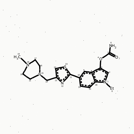 CCn1cc(OC(N)=O)c2cc(-c3nc(CN4CCN(C)CC4)cs3)ccc21